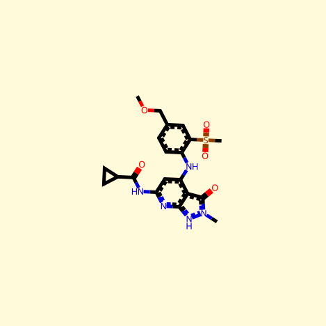 COCc1ccc(Nc2cc(NC(=O)C3CC3)nc3[nH]n(C)c(=O)c23)c(S(C)(=O)=O)c1